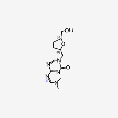 CN(C)/C=N\c1ncn(C[C@H]2CC[C@@H](CO)O2)c(=O)n1